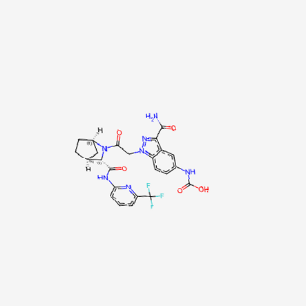 NC(=O)c1nn(CC(=O)N2[C@@H]3CC[C@@H](C3)[C@H]2C(=O)Nc2cccc(C(F)(F)F)n2)c2ccc(NC(=O)O)cc12